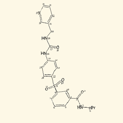 CCCNC(=O)c1cccc(S(=O)(=O)c2ccc(NC(=O)NCc3cccnc3)cc2)c1